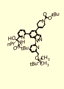 CCC[C@@](O)(N[S@@+]([O-])C(C)(C)C)c1cccc(-c2cc(C3=CCN(C(=O)OC(C)(C)C)CC3)c3cnn(-c4cccc(CO[Si](C)(C)C(C)(C)C)n4)c3c2)n1